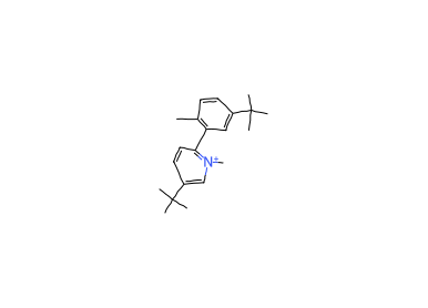 Cc1ccc(C(C)(C)C)cc1-c1ccc(C(C)(C)C)c[n+]1C